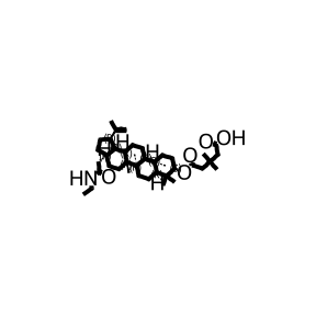 C=C(C)[C@@H]1CC[C@]2(CC(=O)NCC)CC[C@]3(C)[C@H](CC[C@@H]4[C@@]5(C)CC[C@H](OC(=O)CC(C)(C)CC(=O)O)C(C)(C)[C@@H]5CC[C@]43C)[C@@H]12